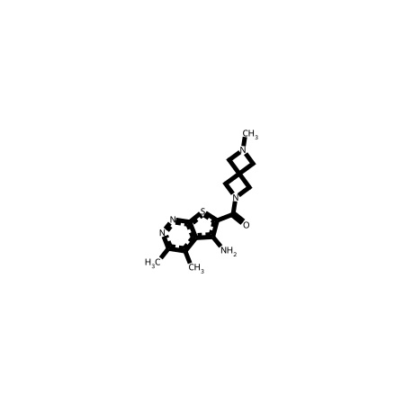 Cc1nnc2sc(C(=O)N3CC4(CN(C)C4)C3)c(N)c2c1C